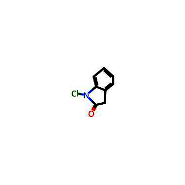 O=C1Cc2ccccc2N1Cl